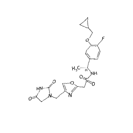 C[C@@H](NS(=O)(=O)Cc1nc(CN2CC(=O)NC2=O)co1)c1ccc(F)c(OCC2CC2)c1